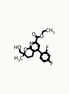 CCOC(=O)c1cc(-c2ccc(F)cc2F)c2c(n1)OC(C)(CO)CC2